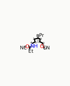 CCCC(CCCNC(CC)OC#N)CCCOC#N